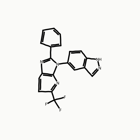 FC(F)(F)c1ccc2nc(-c3ccccc3)n(-c3ccc4[nH]ncc4c3)c2n1